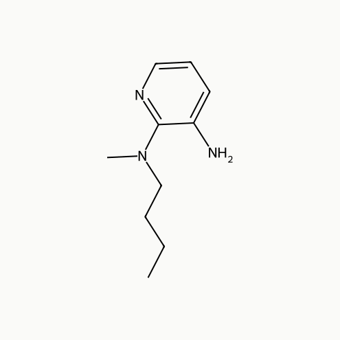 CCCCN(C)c1ncccc1N